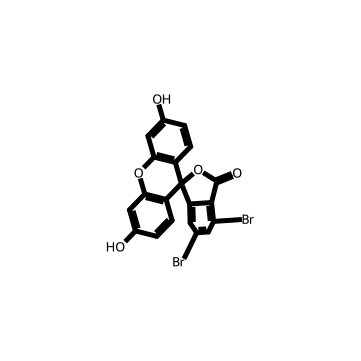 O=C1OC2(c3ccc(O)cc3Oc3cc(O)ccc32)c2cc(Br)cc(Br)c21